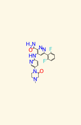 CN1CCN(c2ccc(Nc3cc(-c4c(F)cccc4F)nnc3C(N)=O)nc2)C(=O)C1